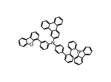 c1cc(-c2cccc3c2oc2ccccc23)cc(N(c2ccc(-c3ccccc3-c3ccccc3-n3c4ccccc4c4ccccc43)cc2)c2ccc3c4ccccc4c4ccccc4c3c2)c1